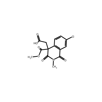 COC(=O)C1(CC(=O)O)C(=O)N(C)C(=O)c2cc(Cl)ccc21